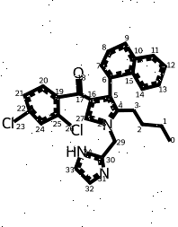 CCCCc1c(-c2cccc3ccccc23)c(C(=O)c2ccc(Cl)cc2Cl)cn1Cc1ncc[nH]1